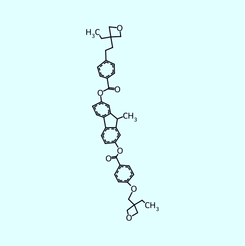 CCC1(CCc2ccc(C(=O)Oc3ccc4c(c3)C(C)c3cc(OC(=O)c5ccc(OCC6(CC)COC6)cc5)ccc3-4)cc2)COC1